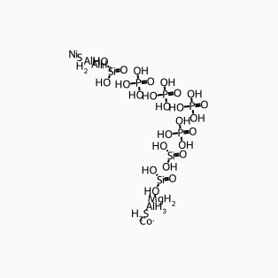 O=P(O)(O)O.O=P(O)(O)O.O=P(O)(O)O.O=P(O)(O)O.O=[Si](O)O.O=[Si](O)O.O=[Si](O)O.S.S.[AlH3].[AlH3].[AlH3].[Co].[MgH2].[Ni]